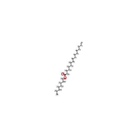 CCCCCCCCCCCCCCCCC(=O)OCCCCCCCC